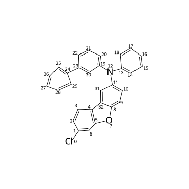 Clc1ccc2c(c1)oc1ccc(N(c3ccccc3)c3cccc(-c4ccccc4)c3)cc12